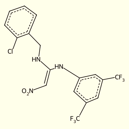 O=[N+]([O-])/C=C(\NCc1ccccc1Cl)Nc1cc(C(F)(F)F)cc(C(F)(F)F)c1